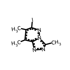 Cc1c(I)nn2c(C)nnc2c1C